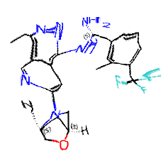 Cc1c([C@@H](N)Nc2nnc(C)c3cnc(N4C[C@@H]5C[C@H]4CO5)cc23)cccc1C(F)(F)F